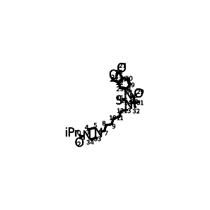 CC(C)C(=O)N1CCN(CCCCCCCN2C(=S)N(c3ccc4c(c3)COC4=O)C(=O)C2(C)C)CC1